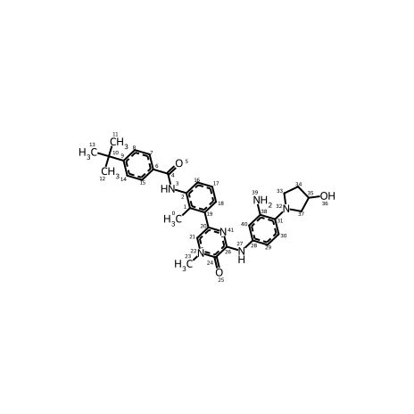 Cc1c(NC(=O)c2ccc(C(C)(C)C)cc2)cccc1-c1cn(C)c(=O)c(Nc2ccc(N3CCC(O)C3)c(N)c2)n1